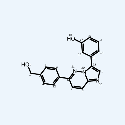 OCc1ccc(-c2ccc3ncc(-c4cccc(O)c4)n3n2)cc1